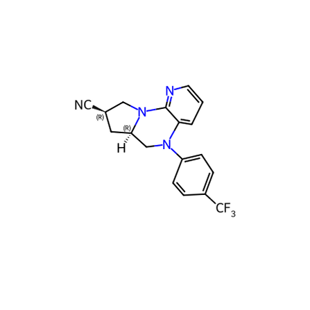 N#C[C@@H]1C[C@@H]2CN(c3ccc(C(F)(F)F)cc3)c3cccnc3N2C1